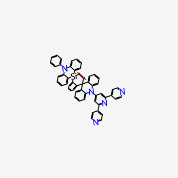 c1ccc(N2c3ccccc3[Si]3(c4ccccc42)c2ccccc2C2(c4ccccc4N(c4cc(-c5ccncc5)nc(-c5ccncc5)c4)c4ccccc42)c2ccccc23)cc1